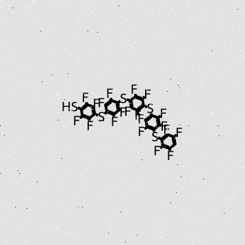 Fc1cc(F)c(F)c(Sc2c(F)c(F)c(Sc3c(F)c(F)c(Sc4c(F)c(F)c(Sc5c(F)c(F)c(S)c(F)c5F)c(F)c4F)c(F)c3F)c(F)c2F)c1F